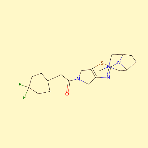 CN1CC2CCC(C1)N2c1nc2c(s1)CN(C(=O)CC1CCC(F)(F)CC1)C2